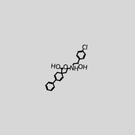 O=C(O)C1(CCNC[C@H](O)c2ccc(Cl)cc2)C=CC(c2ccccc2)=CC1